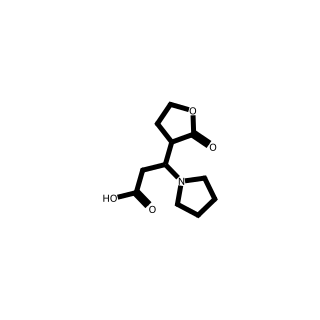 O=C(O)CC(C1CCOC1=O)N1CCCC1